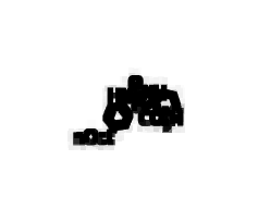 CCCCCCCCc1ccc(NS(=O)(=O)NC2(CC(=O)O)CCC[N+](C)(C)C2)cc1